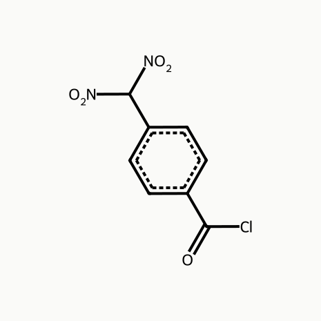 O=C(Cl)c1ccc(C([N+](=O)[O-])[N+](=O)[O-])cc1